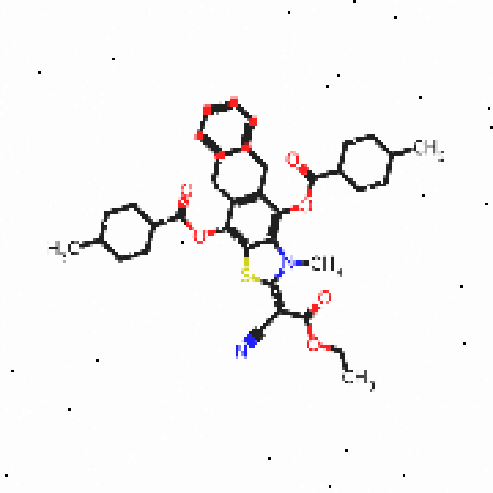 CCOC(=O)/C(C#N)=C1/Sc2c(OC(=O)C3CCC(C)CC3)c3c(c(OC(=O)C4CCC(C)CC4)c2N1C)C1c2ccccc2C3c2ccccc21